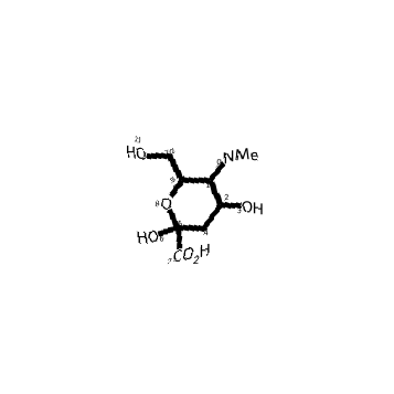 CNC1C(O)CC(O)(C(=O)O)OC1CO